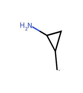 [CH2]C1CC1N